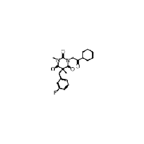 CN1C(=O)N(CC(=O)C2CCCCC2)C(=O)C(C)(Cc2cccc(F)c2)C1=O